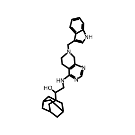 OC(CNc1ncnc2c1CCN(Cc1c[nH]c3ccccc13)C2)C12CC3CC(CC(C3)C1)C2